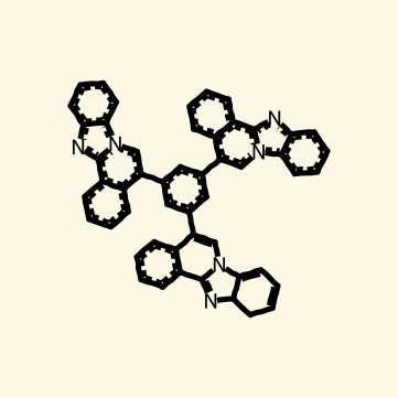 C1=CCC2N=C3c4ccccc4C(c4cc(-c5cn6c7ccccc7nc6c6ccccc56)cc(-c5cn6c7ccccc7nc6c6ccccc56)c4)=CN3C2=C1